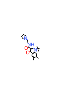 Cc1cc2c(=O)c(C(=O)NCCN3CCCC3)cn(C(C)(C)C)c2cc1C